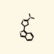 CN(C)C1=NCC(c2occ3ccccc23)C1